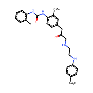 COc1cc(CC(=O)CNCCNc2ccc(C(=O)O)cc2)ccc1NC(=O)Nc1ccccc1C